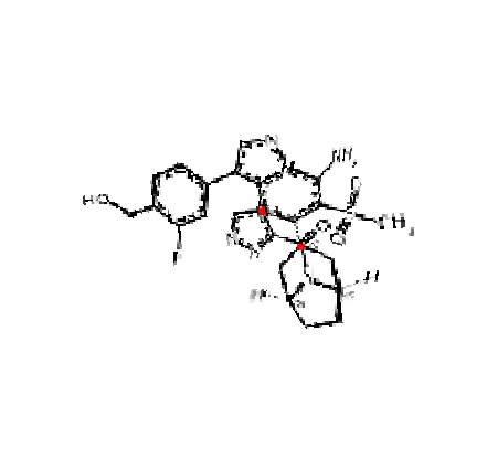 CS(=O)(=O)c1c([C@@H]2C[C@H]3CC[C@@H](C2)N3C(=O)c2nnc[nH]2)nc2c(-c3ccc(CO)c(F)c3)cnn2c1N